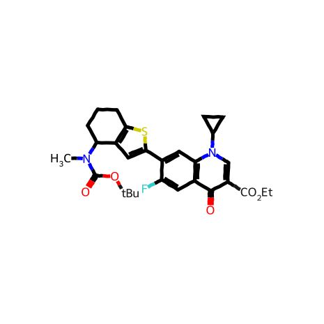 CCOC(=O)c1cn(C2CC2)c2cc(-c3cc4c(s3)CCCC4N(C)C(=O)OC(C)(C)C)c(F)cc2c1=O